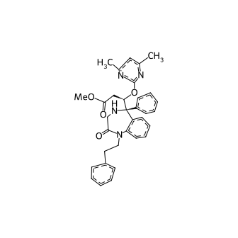 COC(=O)C[C@@H](Oc1nc(C)cc(C)n1)[C@@]1(c2ccccc2)NCC(=O)N(CCc2ccccc2)c2ccccc21